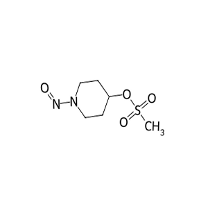 CS(=O)(=O)OC1CCN(N=O)CC1